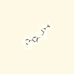 Cc1cc(-c2ccnc(N)n2)ccc1CNC(=O)c1cnc(C2CC2)s1